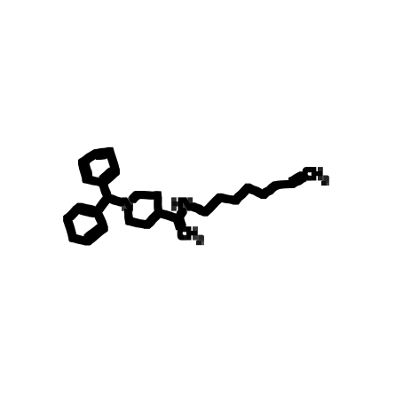 C=CCCCCCCNC(=C)C1CCN(C(C2=CCCC=C2)c2ccccc2)CC1